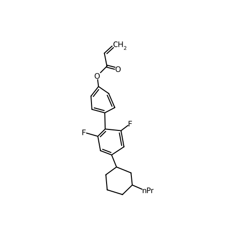 C=CC(=O)Oc1ccc(-c2c(F)cc(C3CCCC(CCC)C3)cc2F)cc1